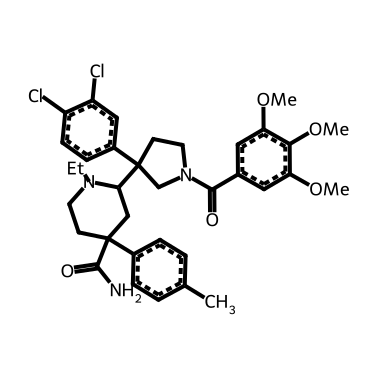 CCN1CCC(C(N)=O)(c2ccc(C)cc2)CC1C1(c2ccc(Cl)c(Cl)c2)CCN(C(=O)c2cc(OC)c(OC)c(OC)c2)C1